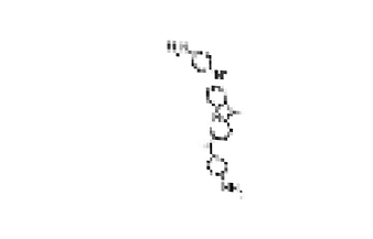 C=C(/C=C\c1c(C)c2cc(N(C)c3ccc(N)cc3)ccc2n1C)N(C)c1ccc(N)cc1